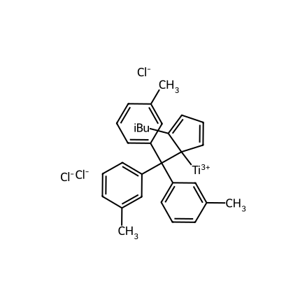 CCC(C)C1=CC=C[C]1([Ti+3])C(c1cccc(C)c1)(c1cccc(C)c1)c1cccc(C)c1.[Cl-].[Cl-].[Cl-]